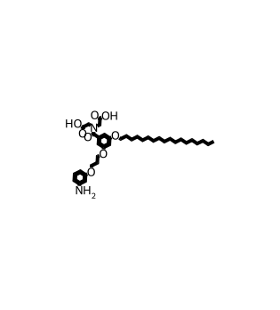 CCCCCCCCCCCCCCCCCCOc1cc(OCCCOc2cccc(N)c2)cc(C(=O)N(CC(=O)O)CC(=O)O)c1